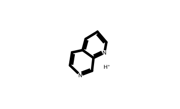 [H+].c1cnc2cnccc2c1